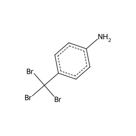 Nc1ccc(C(Br)(Br)Br)cc1